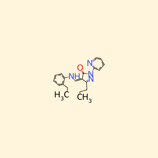 CCCC1=NN(c2ccccn2)C(=O)C1=CNc1ccccc1CC